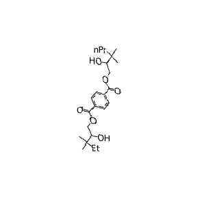 CCCC(C)(C)C(O)COC(=O)c1ccc(C(=O)OCC(O)C(C)(C)CC)cc1